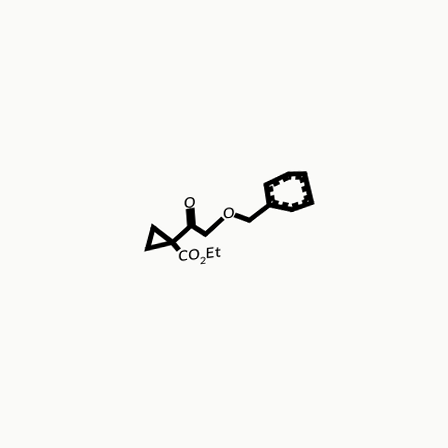 CCOC(=O)C1(C(=O)COCc2ccccc2)CC1